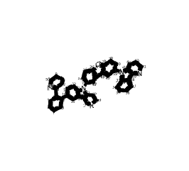 c1ccc(-c2ccccc2-c2ccc3c(c2)c2cnccc2n3-c2ccc3oc4ccc(-n5c6ccccc6c6ncccc65)cc4c3c2)nc1